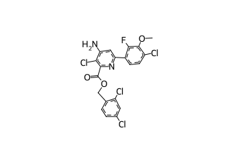 COc1c(Cl)ccc(-c2cc(N)c(Cl)c(C(=O)OCc3ccc(Cl)cc3Cl)n2)c1F